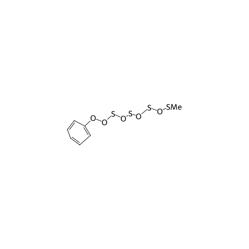 CSOSOSOSOOc1ccccc1